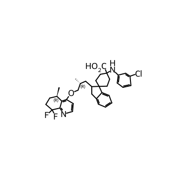 C[C@@H](COc1ccnc2c1[C@H](C)CCC2(F)F)CC1Cc2ccccc2C12CCC(Nc1cccc(Cl)c1)(C(=O)O)CC2